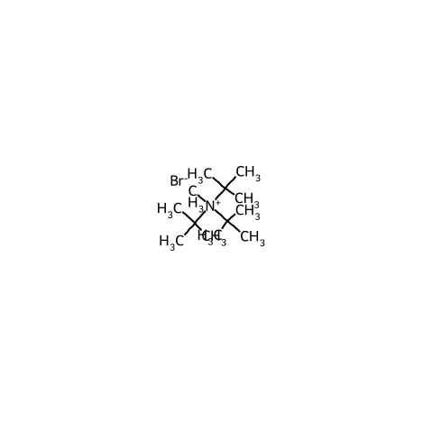 CC(C)(C)[N+](C)(C(C)(C)C)C(C)(C)C.[Br-]